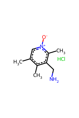 Cc1c[n+]([O-])c(C)c(CN)c1C.Cl